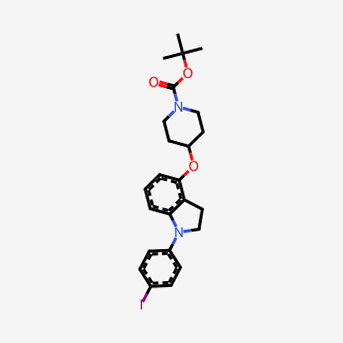 CC(C)(C)OC(=O)N1CCC(Oc2cccc3c2CCN3c2ccc(I)cc2)CC1